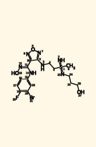 CS(=N)(CCNc1nonc1/C(=N/O)Nc1ccc(F)c(Br)c1)=NCCCO